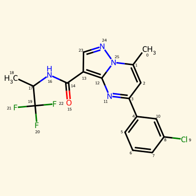 Cc1cc(-c2cccc(Cl)c2)nc2c(C(=O)NC(C)C(F)(F)F)cnn12